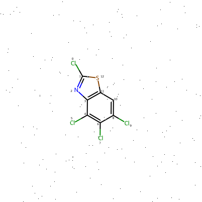 Clc1nc2c(Cl)c(Cl)c(Cl)cc2s1